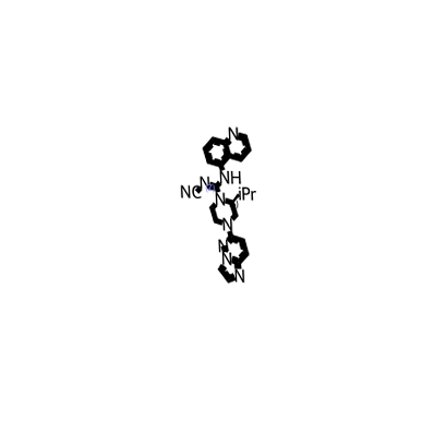 CC(C)[C@H]1CN(c2ccc3nccn3n2)CCN1/C(=N\C#N)Nc1cccc2ncccc12